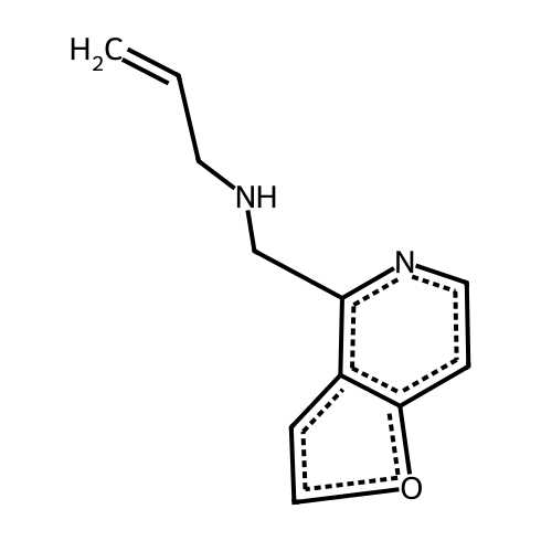 C=CCNCc1nccc2occc12